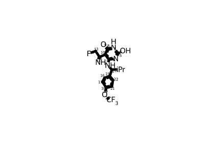 CC(C)C(Nc1nc(O)[nH]c(=O)c1C(=N)CF)c1ccc(OC(F)(F)F)cc1